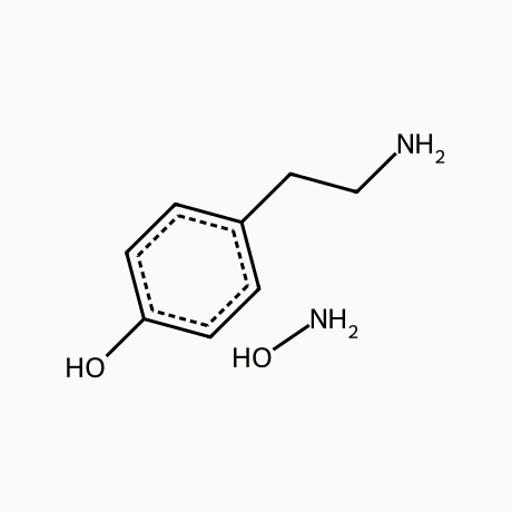 NCCc1ccc(O)cc1.NO